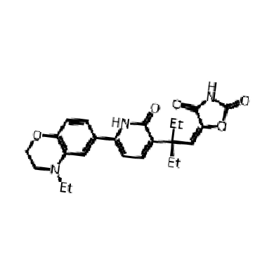 CCN1CCOc2ccc(-c3ccc(C(/C=C4/OC(=O)NC4=O)(CC)CC)c(=O)[nH]3)cc21